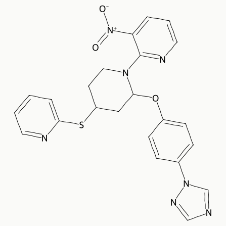 O=[N+]([O-])c1cccnc1N1CCC(Sc2ccccn2)CC1Oc1ccc(-n2cncn2)cc1